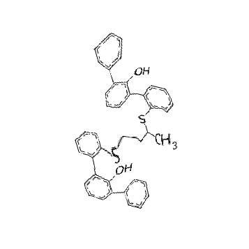 CC(CCSc1ccccc1-c1cccc(-c2ccccc2)c1O)Sc1ccccc1-c1cccc(-c2ccccc2)c1O